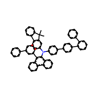 CC1(C)c2ccccc2-c2ccc(N(c3ccc(-c4ccc(-c5ccccc5-c5ccccc5)cc4)cc3)c3c(-c4cccc(-c5ccccc5)c4)c4ccccc4c4ccccc34)cc21